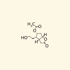 CC(=O)O[C@@H]1C[C@@H]2OC(=O)C[C@@H]2[C@H]1CCO